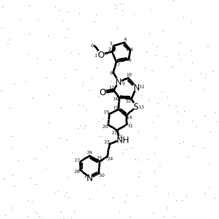 COc1ccccc1Cn1cnc2sc3c(c2c1=O)CCC(NCCc1cccnc1)C3